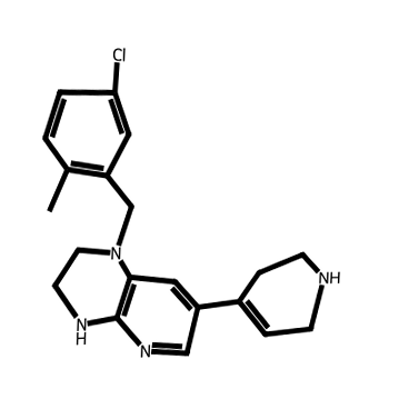 Cc1ccc(Cl)cc1CN1CCNc2ncc(C3=CCNCC3)cc21